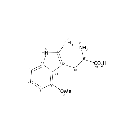 COc1cccc2[nH]c(C)c(CC(N)C(=O)O)c12